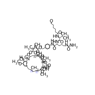 COc1cc2cc(c1Cl)N(C)C(=O)C[C@H](OC(=O)[C@H](C)N(C)C(=O)OCc1ccc(NC(=O)C(CCCNC(N)=O)NC(=O)C(NC(=O)CCCCC=O)C(C)C)cc1)[C@]1(C)O[C@H]1[C@H](C)[C@@H]1C[C@@](O)(NC(=O)O1)[C@H](OC)/C=C/C=C(\C)C2